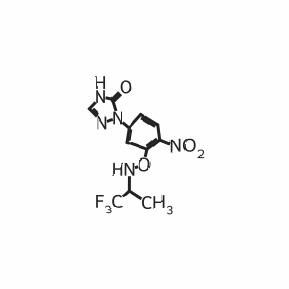 CC(NOc1cc(-n2nc[nH]c2=O)ccc1[N+](=O)[O-])C(F)(F)F